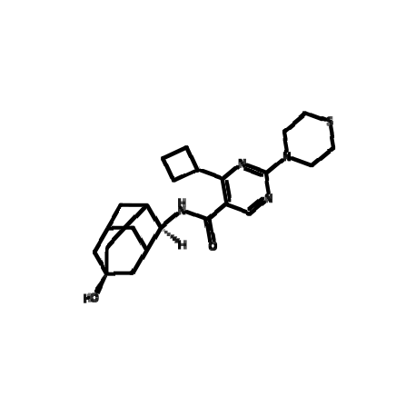 O=C(N[C@H]1C2CC3CC1C[C@@](O)(C3)C2)c1cnc(N2CCSCC2)nc1C1CCC1